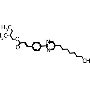 CCCCCCCCc1cnc(-c2ccc(C=CC(=O)OC[C@H](C)CC)cc2)nc1